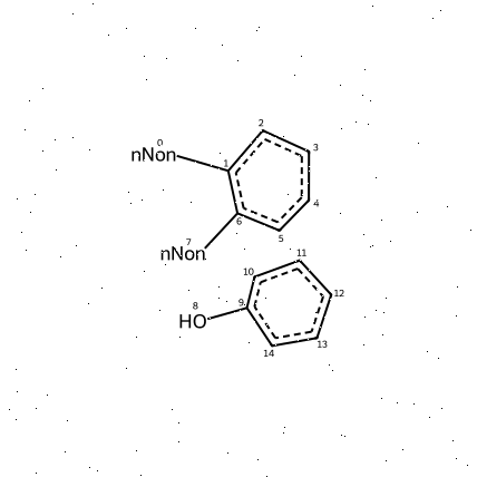 CCCCCCCCCc1ccccc1CCCCCCCCC.Oc1ccccc1